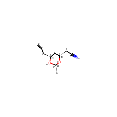 C=CC[C@@H]1C[C@H](CC#N)O[C@H](C)O1